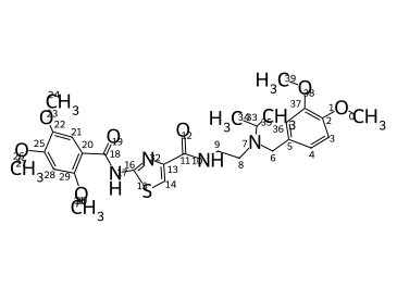 COc1ccc(CN(CCNC(=O)c2csc(NC(=O)c3cc(OC)c(OC)cc3OC)n2)C(C)C)cc1OC